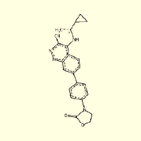 C[C@@H](Nc1c(C#N)nnc2cc(-c3ccc(N4CCOC4=O)cc3)ccc12)C1CC1